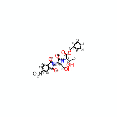 C[C@@H](O)C(C(=O)OCc1ccccc1)N1C(=O)C(N2C(=O)c3ccc([N+](=O)[O-])cc3C2=O)C1CO